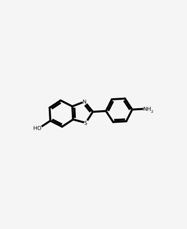 Nc1ccc(-c2nc3ccc(O)cc3s2)cc1